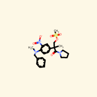 CN(Cc1ccccc1)c1ccc(C(C)(COS(C)(=O)=O)C(=O)N2CCCC2)cc1[N+](=O)[O-]